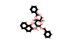 Cc1ccc2ccccc2c1O[C@@H]1[C@@H](O)[C@H](OCc2ccccc2)O[C@@H]2COC(c3ccccc3)O[C@@H]12